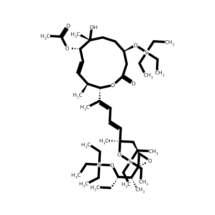 CC[C@H](O[Si](CC)(CC)CC)[C@@H](C)[C@H]1O[C@@H]1C[C@](C)(/C=C/C=C(\C)[C@H]1OC(=O)C[C@H](O[Si](CC)(CC)CC)CC[C@@](C)(O)[C@@H](OC(C)=O)/C=C/[C@@H]1C)O[Si](CC)(CC)CC